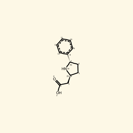 O=C(O)C[C@@H]1CC[C@@H](c2ccccc2)N1